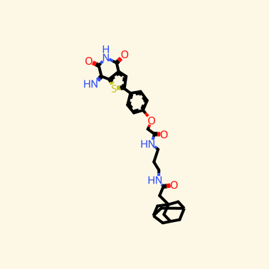 N=C1C(=O)NC(=O)c2cc(-c3ccc(OCC(=O)NCCCNC(=O)CC45CC6CC(CC(C6)C4)C5)cc3)sc21